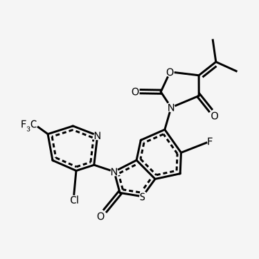 CC(C)=C1OC(=O)N(c2cc3c(cc2F)sc(=O)n3-c2ncc(C(F)(F)F)cc2Cl)C1=O